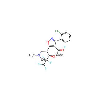 COC(=O)c1c(-c2c(F)cccc2Cl)noc1C(=CN(C)C)C(=O)C(F)(F)C(F)F